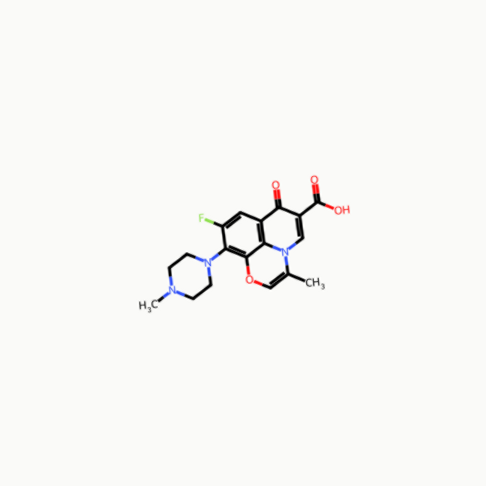 CC1=COc2c(N3CCN(C)CC3)c(F)cc3c(=O)c(C(=O)O)cn1c23